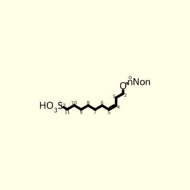 CCCCCCCCCOCC/C=C\CCCCCCS(=O)(=O)O